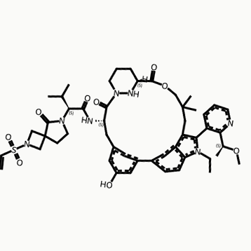 C=CS(=O)(=O)N1CC2(CCN([C@H](C(=O)N[C@H]3Cc4cc(O)cc(c4)-c4ccc5c(c4)c(c(-c4cccnc4[C@H](C)OC)n5CC)CC(C)(C)COC(=O)[C@@H]4CCCN(N4)C3=O)C(C)C)C2=O)C1